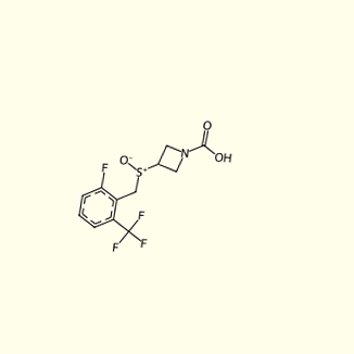 O=C(O)N1CC([S+]([O-])Cc2c(F)cccc2C(F)(F)F)C1